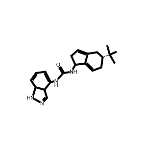 CC(C)(C)[C@@H]1CC=C2C(=CCC2NC(=O)NC2=CC=CC3NN=CC23)C1